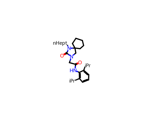 CCCCCCCN1C(=O)N(CC(=O)Nc2c(C(C)C)cccc2C(C)C)CC12CCCCC2